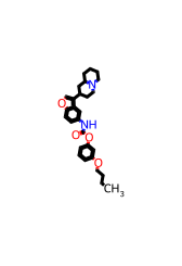 CCCCOc1cccc(OC(=O)Nc2ccc3occ(C4CCN5CCCCC5C4)c3c2)c1